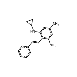 Nc1cc(N)c(C=Cc2ccccc2)c(NC2CC2)c1